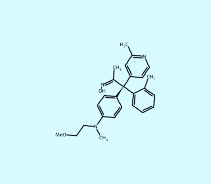 COCCN(C)c1ccc([C@@](/C(C)=N\O)(c2ccnc(C)c2)c2ccccc2C)cc1